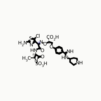 C[C@H]1[C@H](NC(=O)/C(=N\O[C@@H](COc2ccc(C(=N)NC3CCNCC3)cc2)C(=O)O)c2nc(N)sc2Cl)C(=O)N1S(=O)(=O)O